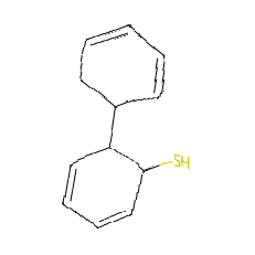 SC1C=CC=CC1C1C=CC=CC1